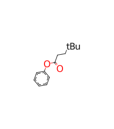 CC(C)(C)CCC(=O)Oc1ccccc1